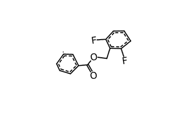 O=C(OCc1c(F)cccc1F)c1c[c]ccc1